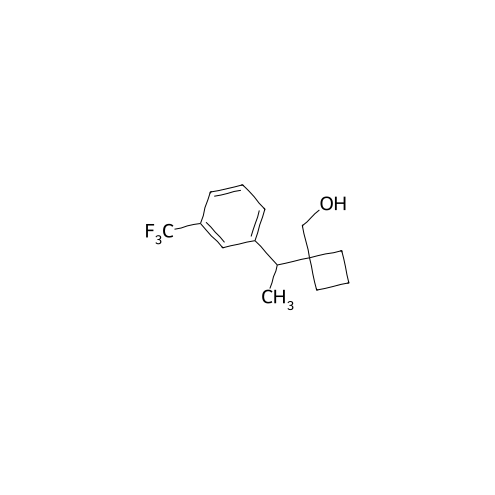 CC(c1cccc(C(F)(F)F)c1)C1(CO)CCC1